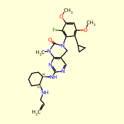 C=CCN[C@H]1CCCC[C@H]1Nc1ncc2c(n1)N(C)C(=O)N(c1c(F)c(OC)cc(OC)c1C1CC1)C2